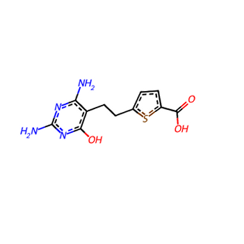 Nc1nc(N)c(CCc2ccc(C(=O)O)s2)c(O)n1